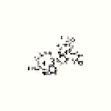 CN/C1=C(\C=N)NC(=O)C(C)CCCC(n2cnc(-c3cc(Cl)ccc3N(N)/C=C(\N)C(=O)O)cc2=O)c2cc1ccn2